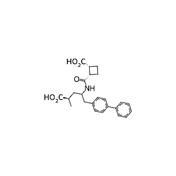 C[C@H](CC(Cc1ccc(-c2ccccc2)cc1)NC(=O)[C@H]1CC[C@H]1C(=O)O)C(=O)O